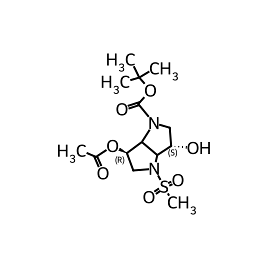 CC(=O)O[C@@H]1CN(S(C)(=O)=O)C2C1N(C(=O)OC(C)(C)C)C[C@@H]2O